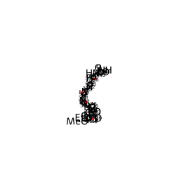 CCOc1cc([C@@H](CS(C)(=O)=O)N2C(=O)c3cccc(NC4CCN(CC5CCN(CCN6CCC(c7ccc(NC8CCC(=O)NC8=O)cc7F)CC6)CC5)CC4)c3C2=O)ccc1OC